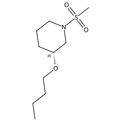 CCCCO[C@@H]1CCCN(S(C)(=O)=O)C1